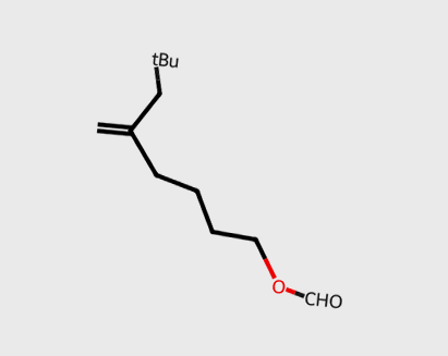 C=C(CCCCOC=O)CC(C)(C)C